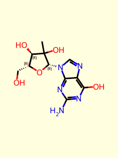 CC1(O)[C@H](O)[C@@H](CO)O[C@H]1n1cnc2c(O)nc(N)nc21